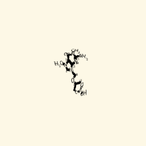 CN1CN(COC2COP(O)OC2)c2nc(N)n(C)c(=O)c21